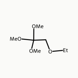 CCOCC(OC)(OC)OC